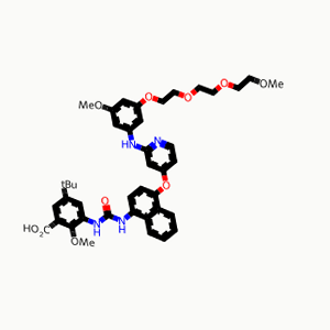 COCCOCCOCCOc1cc(Nc2cc(Oc3ccc(NC(=O)Nc4cc(C(C)(C)C)cc(C(=O)O)c4OC)c4ccccc34)ccn2)cc(OC)c1